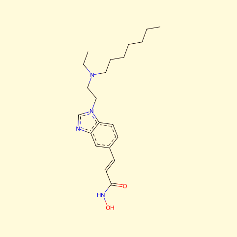 CCCCCCCN(CC)CCn1cnc2cc(C=CC(=O)NO)ccc21